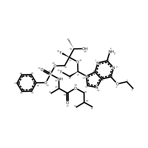 CCOc1nc(N)nc2c1ncn2[C@@H](CF)O[C@](F)(COP(=O)(NC(C)C(=O)OCC(C)C)Oc1ccccc1)[C@H](C)O